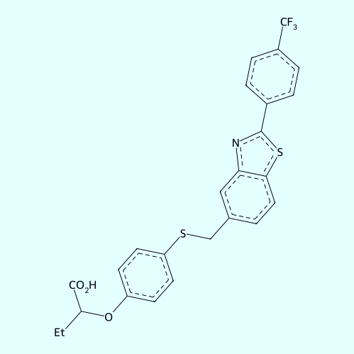 CCC(Oc1ccc(SCc2ccc3sc(-c4ccc(C(F)(F)F)cc4)nc3c2)cc1)C(=O)O